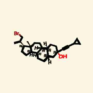 C=C(CBr)[C@H]1CC[C@H]2[C@@H]3CC[C@H]4C[C@](O)(C#CC5CC5)CC[C@@H]4[C@H]3CC[C@]12C